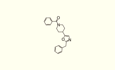 O=C(c1ccccc1)N1CCC(c2cnc(Cc3ccccc3)o2)CC1